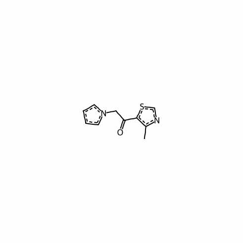 Cc1ncsc1C(=O)Cn1cccc1